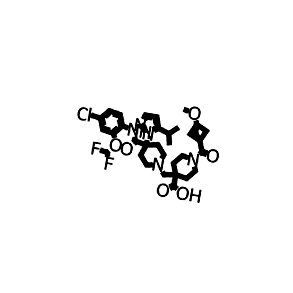 COC12CC(C(=O)N3CCC(CN4CCC(C(=O)Nc5ccc(Cl)cc5OC(F)F)(n5nccc5C(C)C)CC4)(C(=O)O)CC3)(C1)C2